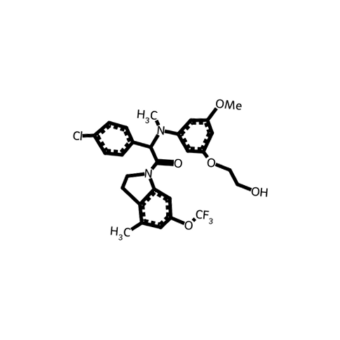 COc1cc(OCCO)cc(N(C)C(C(=O)N2CCc3c(C)cc(OC(F)(F)F)cc32)c2ccc(Cl)cc2)c1